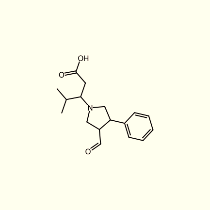 CC(C)C(CC(=O)O)N1CC(C=O)C(c2ccccc2)C1